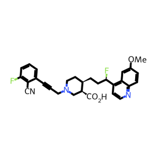 COc1ccc2nccc([C@H](F)CC[C@@H]3CCN(CC#Cc4cccc(F)c4C#N)C[C@@H]3C(=O)O)c2c1